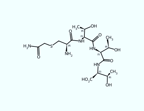 C[C@@H](O)[C@H](NC(=O)[C@@H](NC(=O)[C@@H](NC(=O)[C@@H](N)CSCC(N)=O)[C@@H](C)O)[C@@H](C)O)C(=O)O